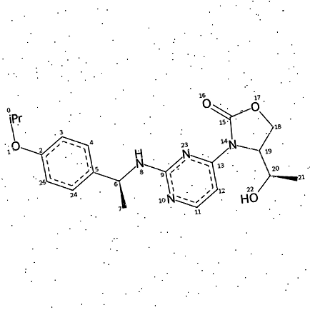 CC(C)Oc1ccc([C@H](C)Nc2nccc(N3C(=O)OCC3[C@@H](C)O)n2)cc1